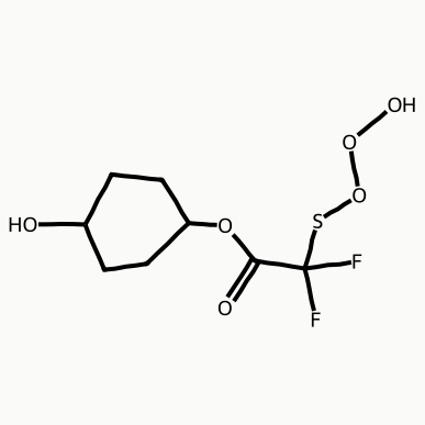 O=C(OC1CCC(O)CC1)C(F)(F)SOOO